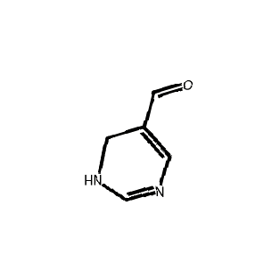 O=CC1=CN=CNC1